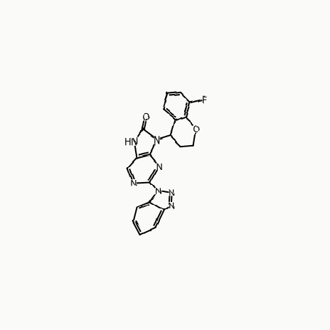 O=c1[nH]c2cnc(-n3nnc4ccccc43)nc2n1C1CCOc2c(F)cccc21